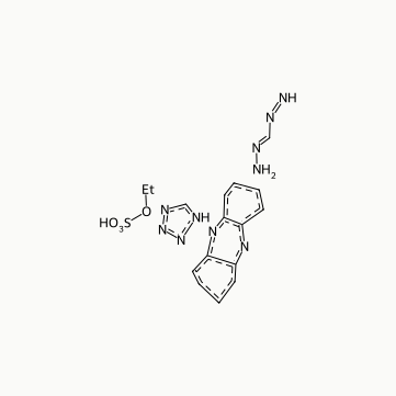 CCOS(=O)(=O)O.N=NC=NN.c1ccc2nc3ccccc3nc2c1.c1nnn[nH]1